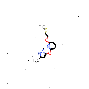 Cn1nc(C(F)(F)F)cc1Oc1cccc(OCCSC(F)(F)F)n1